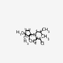 CC1=C(N(CC(C)C)C(=O)CCl)CCC1(C)C